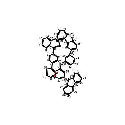 c1ccc(-c2ccc(-c3cccc4ccccc34)cc2N(c2cccc(-c3ccc4oc5ccccc5c4c3)c2)c2cccc(-n3c4ccccc4c4ccccc43)c2)cc1